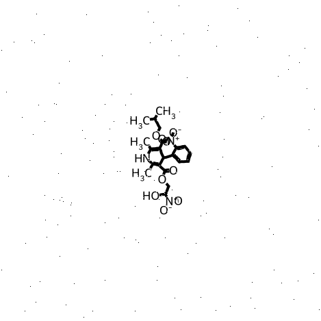 CC1=C(C(=O)OCC(C)C)C(c2ccccc2[N+](=O)[O-])C(C(=O)OCC(O)[N+](=O)[O-])=C(C)N1